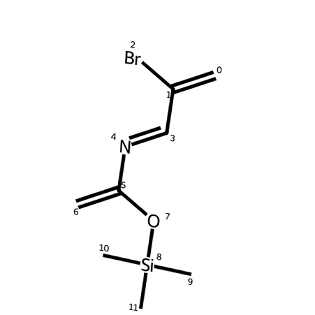 C=C(Br)/C=N/C(=C)O[Si](C)(C)C